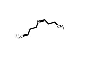 C=CCC/N=C\CCC